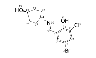 Oc1c(Cl)cc(Br)cc1C=N[C@H]1CC[C@H](O)CC1